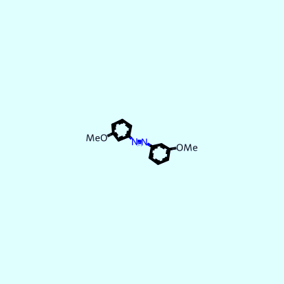 COc1cccc(/N=N/c2cccc(OC)c2)c1